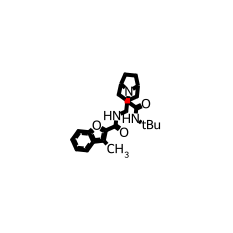 Cc1c(C(=O)NCC2CC3CCC(C2)N3CC(=O)NC(C)(C)C)oc2ccccc12